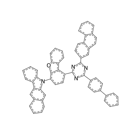 c1ccc(-c2ccc(-c3nc(-c4ccc5c(ccc6ccccc65)c4)nc(-c4ccc(-n5c6ccccc6c6cc7ccccc7cc65)c5oc6ccccc6c45)n3)cc2)cc1